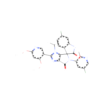 COc1cc(OC)c(-c2nc3c(n2C(C)C)C2(C(=O)Nc4cc(Cl)ccc42)N(c2cc(Cl)cnc2C)C3=O)cn1